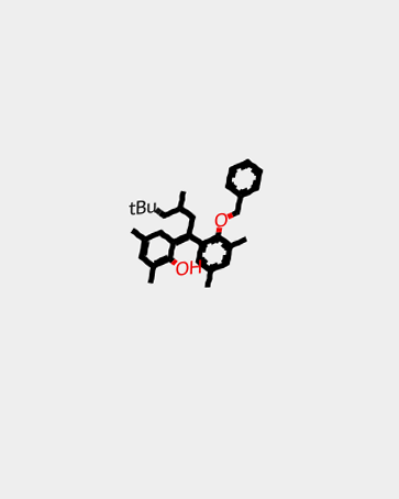 CC1=CC(C)=C(O)C(=C(CC(C)CC(C)(C)C)c2cc(C)cc(C)c2OCc2ccccc2)C1